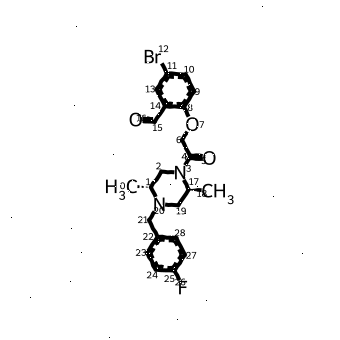 C[C@@H]1CN(C(=O)COc2ccc(Br)cc2C=O)[C@@H](C)CN1Cc1ccc(F)cc1